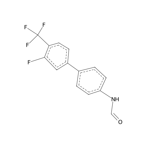 O=CNc1ccc(-c2ccc(C(F)(F)F)c(F)c2)cc1